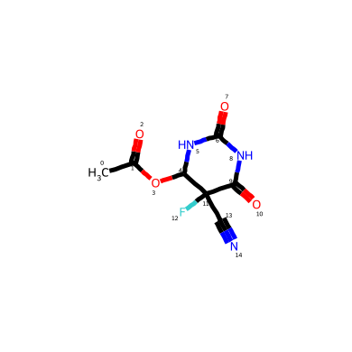 CC(=O)OC1NC(=O)NC(=O)C1(F)C#N